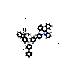 CC1(C)c2ccccc2-c2ccc(N(c3ccc(-c4ccccc4)cc3)c3ccc(-c4ccc(-n5c(-c6ccccc6)c(-c6ccccc6)c6ccccc65)cc4)cc3)cc21